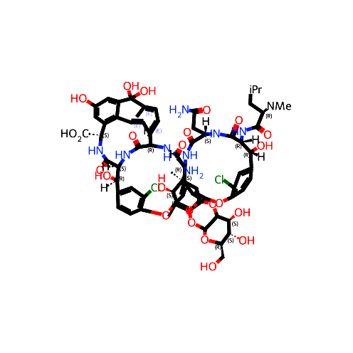 CN[C@H](CC(C)C)C(=O)N[C@H]1C(=O)N[C@@H](CC(N)=O)C(=O)N[C@H]2C(=O)N[C@H]3C(=O)N[C@H](C(=O)N[C@H](C(=O)O)c4cc(O)cc5c4/C=C/C3=C\C=C(/C)C5(O)O)[C@H](O)c3ccc(c(Cl)c3)Oc3cc2cc(c3OC2O[C@H](CO)[C@@H](O)[C@H](O)C2OC2C[C@](C)(N)[C@H](O)[C@H](C)O2)Oc2ccc(cc2Cl)[C@H]1O